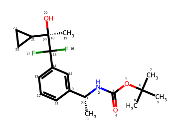 C[C@@H](NC(=O)OC(C)(C)C)c1cccc(C(F)(F)[C@](C)(O)C2CC2)c1